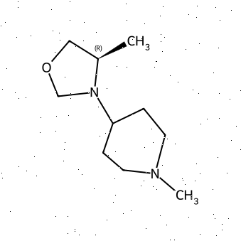 C[C@@H]1COCN1C1CCN(C)CC1